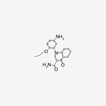 CCCOc1ccc(N)cc1-n1cc(C(N)=O)c(=O)c2ccccc21